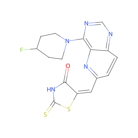 O=C1NC(=S)SC1=Cc1ccc2ncnc(N3CCC(F)CC3)c2n1